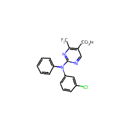 O=C(O)c1cnc(N(c2ccccc2)c2cccc(Cl)c2)nc1C(F)(F)F